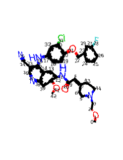 COCCN1CCC(=CC(=O)Nc2cc3c(Nc4ccc(OCc5cccc(F)c5)c(Cl)c4)c(C#N)cnc3cc2OC)CC1